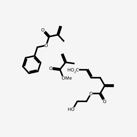 C=C(C)C(=O)OC.C=C(C)C(=O)OCc1ccccc1.C=C(CC=CC(=O)O)C(=O)OCCO